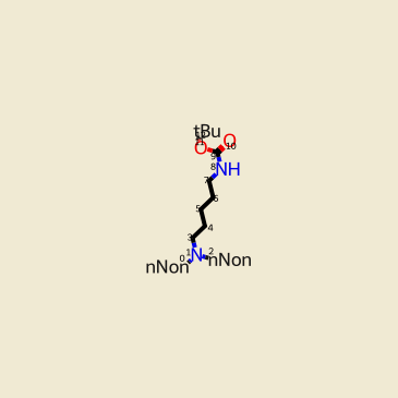 CCCCCCCCCN(CCCCCCCCC)CCCCCNC(=O)OC(C)(C)C